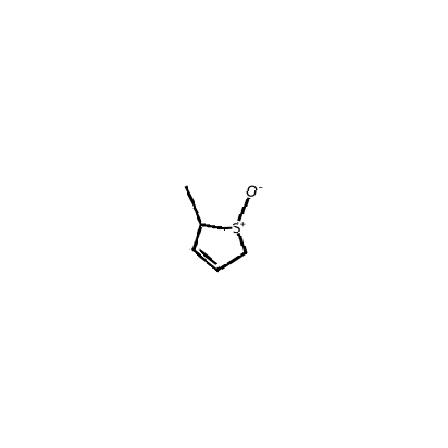 CC1[C]=CC[S+]1[O-]